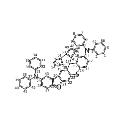 c1ccc(N(c2ccccc2)c2ccc3c(c2)C2(c4cc5c(cc4S3)oc3ccc(N(c4ccccc4)c4ccccc4)cc35)c3ccccc3-c3ccccc32)cc1